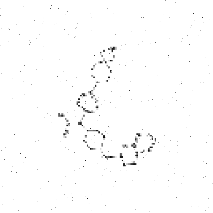 CC(=O)N(c1ccc(N2CCC3(CC2)CNC3)cc1)C1CCC(Nc2ncc3ccccc3n2)CC1